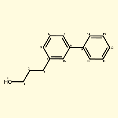 OCCCc1cccc(-c2ccccc2)c1